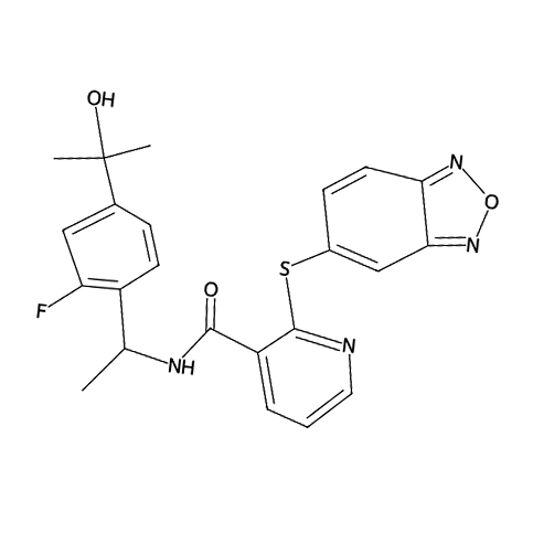 CC(NC(=O)c1cccnc1Sc1ccc2nonc2c1)c1ccc(C(C)(C)O)cc1F